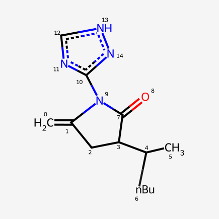 C=C1CC(C(C)CCCC)C(=O)N1c1nc[nH]n1